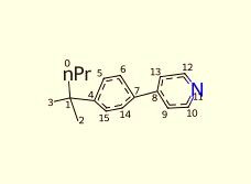 CCCC(C)(C)c1ccc(-c2ccncc2)cc1